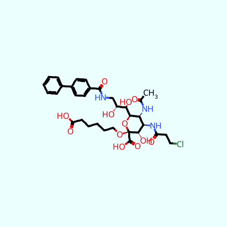 CC(=O)N[C@@H]1[C@@H](NC(=O)CCCl)[C@H](O)[C@](OCCCCCC(=O)O)(C(=O)O)O[C@H]1[C@H](O)[C@H](O)CNC(=O)c1ccc(-c2ccccc2)cc1